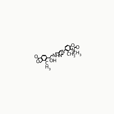 Cc1c(C(O)CNCc2cn(-c3ccc4oc(=O)n(C)c4c3C)cn2)ccc2c1COC2=O